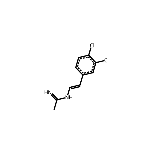 CC(=N)NC=Cc1ccc(Cl)c(Cl)c1